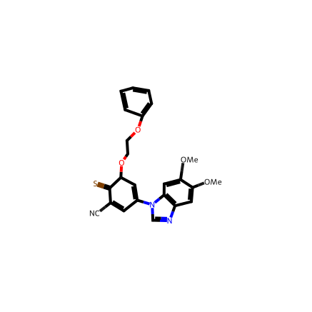 COc1cc2ncn(C3=CC(OCCOc4ccccc4)C(=S)C(C#N)=C3)c2cc1OC